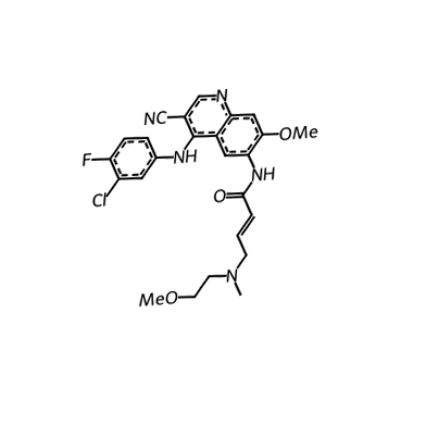 COCCN(C)CC=CC(=O)Nc1cc2c(Nc3ccc(F)c(Cl)c3)c(C#N)cnc2cc1OC